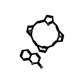 C1=Cc2cc3ccc(cc4nc(cc5ccc(cc1n2)[nH]5)C=C4)[nH]3.O=c1ccc2ccccc2o1